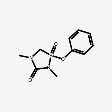 CN1CP(=O)(Oc2ccccc2)N(C)C1=O